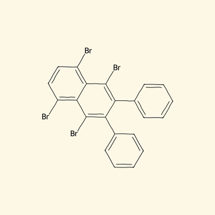 Brc1ccc(Br)c2c(Br)c(-c3ccccc3)c(-c3ccccc3)c(Br)c12